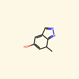 CC1C=C(O)C=C2C=NN=C21